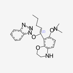 CCC/C=C(\On1nnc2ccccc21)c1c(ON(C)C)ccc2c1OCCN2